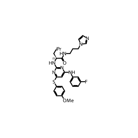 COc1ccc(Sc2cc(Nc3cccc(F)c3)nc(N[C@@H](CC(C)C)C(=O)NCCCn3ccnc3)n2)cc1